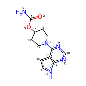 NC(=O)OC1CCN(c2ncnc3[nH]ccc23)CC1